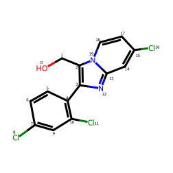 OCc1c(-c2ccc(Cl)cc2Cl)nc2cc(Cl)ccn12